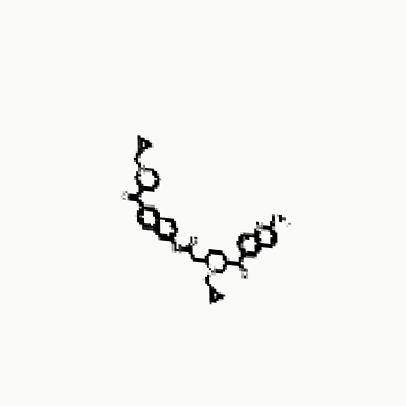 Cc1ccc2cc(C(=O)C3CCC(CC(=O)Nc4ccc5cc(C(=O)C6CCCN(CC7CC7)C6)ccc5c4)N(CC4CC4)C3)ccc2n1